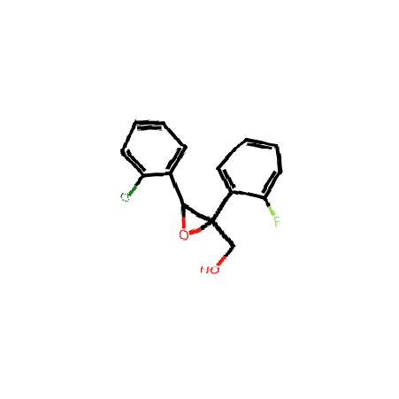 OCC1(c2ccccc2F)OC1c1ccccc1Cl